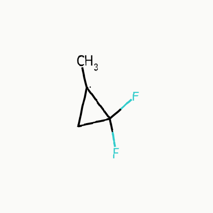 C[C]1CC1(F)F